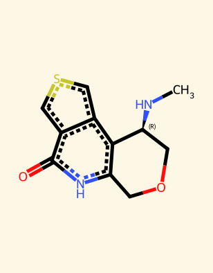 CN[C@H]1COCc2[nH]c(=O)c3cscc3c21